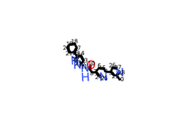 Cc1cc(-c2ccc(CC(=O)Nc3ccc(-c4ccccc4)nn3)cn2)ccn1